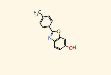 Oc1ccc2nc(-c3ccc(C(F)(F)F)cc3)oc2c1